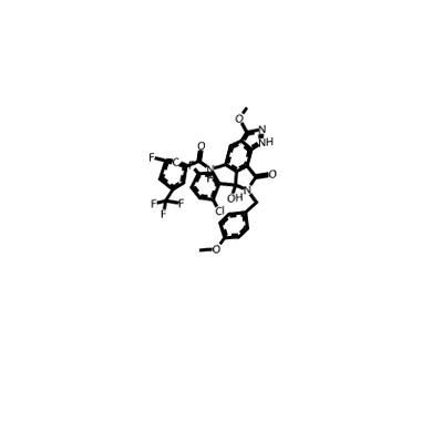 COc1ccc(CN2C(=O)c3c(c(NC(=O)c4cc(F)cc(C(F)(F)F)c4)cc4c(OC)n[nH]c34)C2(O)c2cc(F)ccc2Cl)cc1